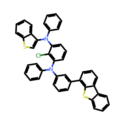 Clc1c(N(c2ccccc2)c2cccc(-c3cccc4c3sc3ccccc34)c2)cccc1N(c1ccccc1)c1csc2ccccc12